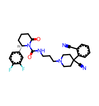 N#Cc1ccccc1C1(C#N)CCN(CCCNC(=O)N2C(=O)CCC[C@H]2c2ccc(F)c(F)c2)CC1